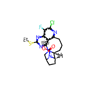 CCSc1nc2c3c(nc(Cl)c(F)c3n1)CCC[C@@H]1[C@@H]3CCC(CN21)N3C(=O)OC(C)(C)C